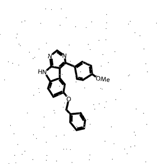 COc1ccc(-c2ncnc3[nH]c4ccc(OCc5ccccc5)cc4c23)cc1